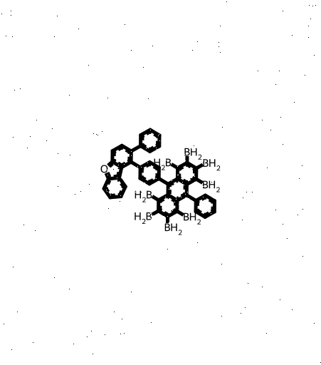 Bc1c(B)c(B)c2c(-c3ccc(-c4c(-c5ccccc5)ccc5oc6ccccc6c45)cc3)c3c(B)c(B)c(B)c(B)c3c(-c3ccccc3)c2c1B